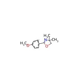 COc1c[c]c(C2=NC(C)(C)CO2)cc1